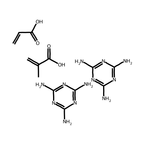 C=C(C)C(=O)O.C=CC(=O)O.Nc1nc(N)nc(N)n1.Nc1nc(N)nc(N)n1